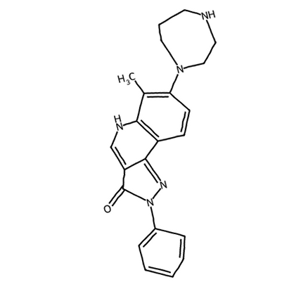 Cc1c(N2CCCNCC2)ccc2c3nn(-c4ccccc4)c(=O)c-3c[nH]c12